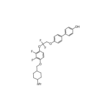 CCCC1CCC(COc2ccc(OC(F)(F)COc3ccc(-c4ccc(O)cc4)cc3)c(F)c2F)CC1